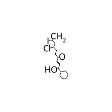 C=C(I)CC(Cl)CCC(=O)C=CC(O)C1CCCCC1